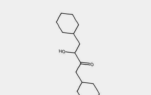 O=C(CC1CCCCC1)C(O)CC1CCCCC1